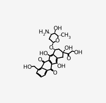 C[C@@H]1O[C@@H](O[C@H]2C[C@](O)(C(=O)CO)Cc3c(O)c4c(c(O)c32)C(=O)c2c(CO)cccc2C4=O)C[C@H](N)[C@H]1O